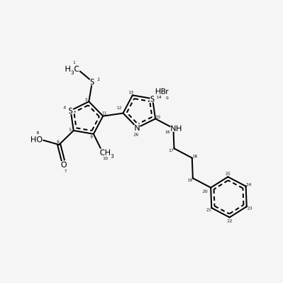 Br.CSc1sc(C(=O)O)c(C)c1-c1csc(NCCCc2ccccc2)n1